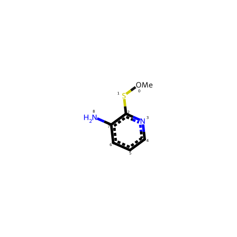 COSc1ncccc1N